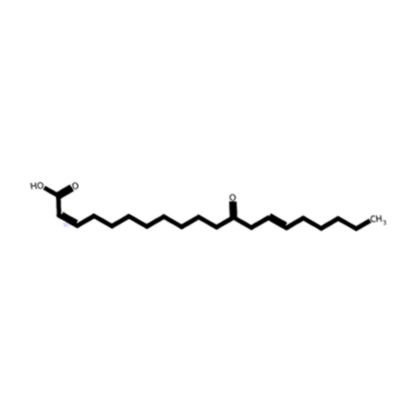 CCCCCC=CCC(=O)CCCCCCCC/C=C\C(=O)O